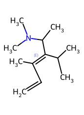 C=C/C(C)=C(\C(C)C)C(C)N(C)C